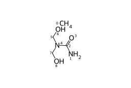 C.NC(=O)N(CO)CO